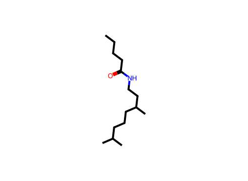 CCCCC(=O)NCCC(C)CCCC(C)C